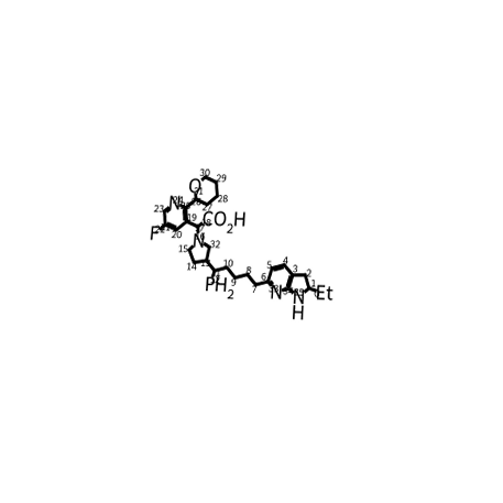 CCC1Cc2ccc(CCCCC(P)C3CCN(C(C(=O)O)c4cc(F)cnc4C4CCCCO4)C3)nc2N1